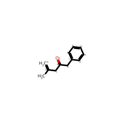 C=C(C)CC(=O)Cc1ccccc1